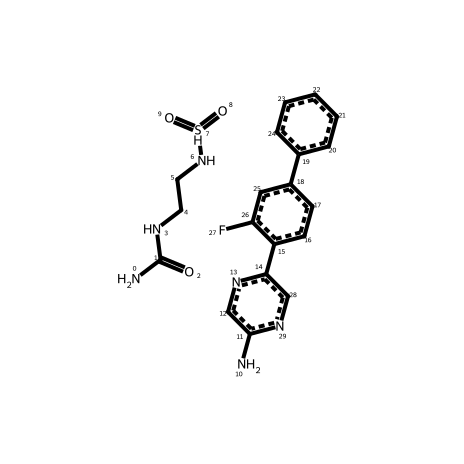 NC(=O)NCCN[SH](=O)=O.Nc1cnc(-c2ccc(-c3ccccc3)cc2F)cn1